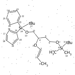 CC=COC(CCO[Si](C)(C)C(C)(C)C)CO[Si](c1ccccc1)(c1ccccc1)C(C)(C)C